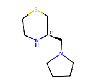 C1CCN(C[C@@H]2CSCCN2)C1